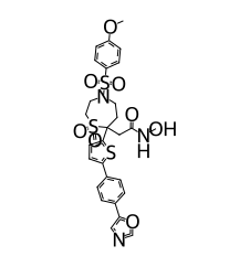 COc1ccc(S(=O)(=O)N2CCC(CC(=O)NO)(c3ccc(-c4ccc(-c5cnco5)cc4)s3)S(=O)(=O)CC2)cc1